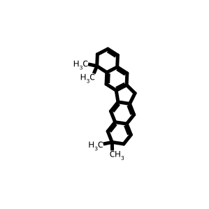 CC1(C)C=c2cc3c(cc2=CC1)Cc1cc2c(cc1-3)C(C)(C)CC=C2